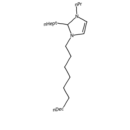 CCCCCCCCCCCCCCCCN1C=CN(CCC)C1CCCCCCC